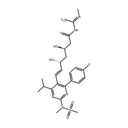 C/N=C(\N)NC(=O)C[C@H](O)C[C@@H](O)/C=C/c1c(-c2ccc(F)cc2)nc(N(C)S(C)(=O)=O)nc1C(C)C